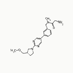 COCC1CCN(c2ncc(-c3cccc(CN(C)C(=O)CN)c3)cn2)C1